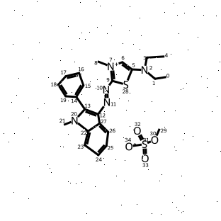 CCN(CC)c1c[n+](C)c(N=Nc2c(-c3ccccc3)n(C)c3ccccc23)s1.COS(=O)(=O)[O-]